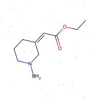 BN1CCCC(=CC(=O)OCC)C1